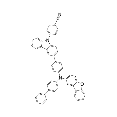 N#Cc1ccc(-n2c3ccccc3c3cc(-c4ccc(N(c5ccc(-c6ccccc6)cc5)c5ccc6oc7ccccc7c6c5)cc4)ccc32)cc1